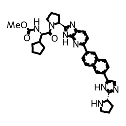 COC(=O)N[C@H](C(=O)N1CCC[C@H]1c1nc2ccc(-c3ccc4cc(-c5cnc([C@@H]6CCCN6)[nH]5)ccc4c3)nc2[nH]1)C1CCCC1